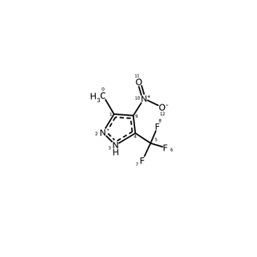 Cc1n[nH]c(C(F)(F)F)c1[N+](=O)[O-]